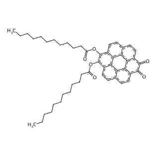 CCCCCCCCCCCC(=O)Oc1c(OC(=O)CCCCCCCCCCC)c2ccc3ccc4c(=O)c(=O)c5ccc6ccc1c1c6c5c4c3c21